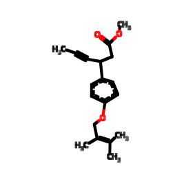 CC#CC(CC(=O)OC)c1ccc(OCC(C)=C(C)C)cc1